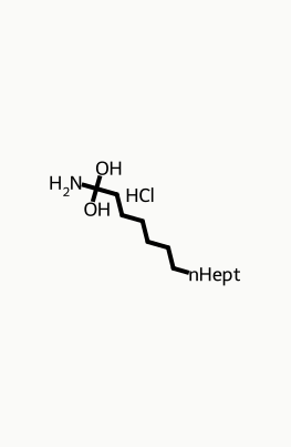 CCCCCCCCCCCCCC(N)(O)O.Cl